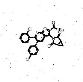 CC(C)(C)C(=O)c1oc2nc(-c3ccccc3Cl)c(-c3ccc(Cl)cc3)cc2c1N1C(=O)C2CC2C1=O